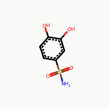 NS(=O)(=O)c1ccc(O)c(O)c1